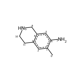 Cc1cc2c(cc1N)CNCC2